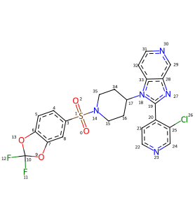 O=S(=O)(c1ccc2c(c1)OC(F)(F)O2)N1CCC(n2c(-c3ccncc3Cl)nc3cnccc32)CC1